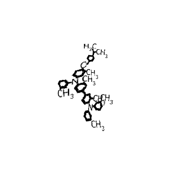 CCC(C)c1ccc(COc2ccc(N(c3cccc(C)c3)c3ccc(-c4ccc(N(c5cccc(C)c5)c5cccc(C)c5)c(C)c4)cc3C)cc2C)cc1